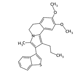 CCCc1c(-c2csc3ccccc23)c(C)n2c1-c1cc(OC)c(OC)cc1CC2